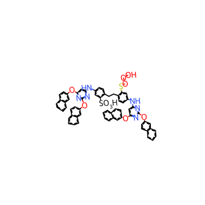 O=S(=O)(O)c1cc(Nc2cc(Oc3ccc4ccccc4c3)nc(Oc3ccc4ccccc4c3)n2)ccc1CCc1ccc(Nc2cc(Oc3ccc4ccccc4c3)nc(Oc3ccc4ccccc4c3)n2)cc1SOOO